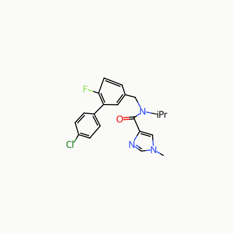 CC(C)N(Cc1ccc(F)c(-c2ccc(Cl)cc2)c1)C(=O)c1cn(C)cn1